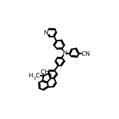 CC1(C)c2cccc3ccc4cc(-c5ccc(N(c6ccc(C#N)cc6)c6ccc(-c7cccnc7)cc6)cc5)cc1c4c23